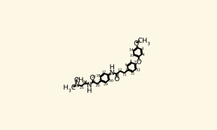 COc1ccc(Oc2ccc(CCC(=O)Nc3ccc(CC(=O)NCCN(C)C)cc3)cc2)cc1